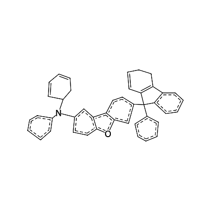 C1=CCC(N(c2ccccc2)c2ccc3oc4cc(C5(c6ccccc6)C6=C(CCC=C6)c6ccccc65)ccc4c3c2)C=C1